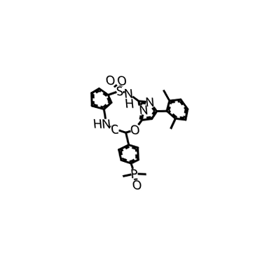 Cc1cccc(C)c1-c1cc2nc(n1)NS(=O)(=O)c1cccc(c1)NCC(c1ccc(P(C)(C)=O)cc1)O2